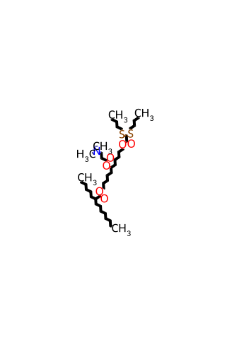 CCCCCCCCC(CCCCCC)C(=O)OCCCCCC(CCCCCOC(=O)C(SCCCCC)SCCCCC)OC(=O)CCN(C)C